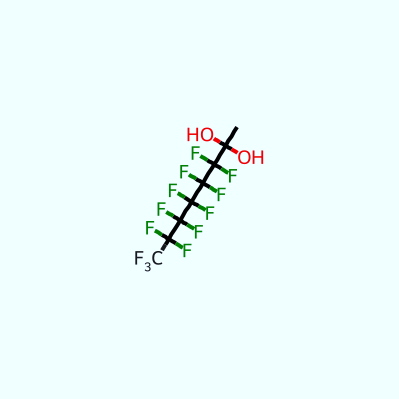 CC(O)(O)C(F)(F)C(F)(F)C(F)(F)C(F)(F)C(F)(F)C(F)(F)F